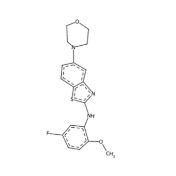 COc1ccc(F)cc1Nc1nc2cc(N3CCOCC3)ccc2s1